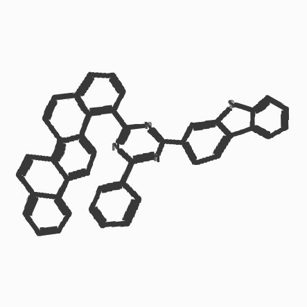 c1ccc(-c2nc(-c3ccc4c(c3)sc3ccccc34)nc(-c3cccc4ccc5c6ccc7ccccc7c6ccc5c34)n2)cc1